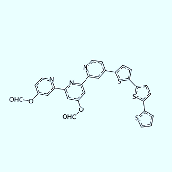 O=COc1ccnc(-c2cc(OC=O)cc(-c3cc(-c4ccc(-c5ccc(-c6cccs6)s5)s4)ccn3)n2)c1